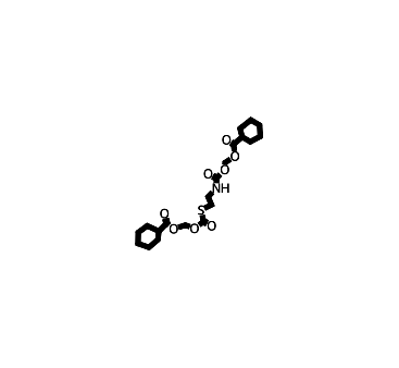 O=C(NCCSC(=O)OCOC(=O)C1CCCCC1)OCOC(=O)C1CCCCC1